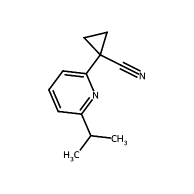 CC(C)c1cccc(C2(C#N)CC2)n1